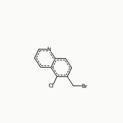 Clc1c(CBr)ccc2ncccc12